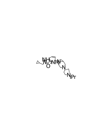 CC(C)N1CCC(N2CC3CC(C2)N(C2C=CC=C(C(=O)N(N)CC4CC4)N2)C3)CC1